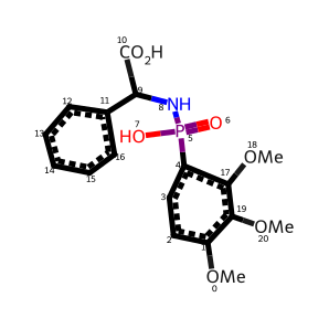 COc1ccc(P(=O)(O)NC(C(=O)O)c2ccccc2)c(OC)c1OC